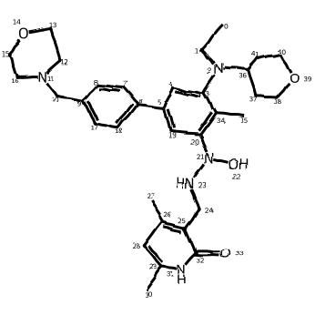 CCN(c1cc(-c2ccc(CN3CCOCC3)cc2)cc(N(O)NCc2c(C)cc(C)[nH]c2=O)c1C)C1CCOCC1